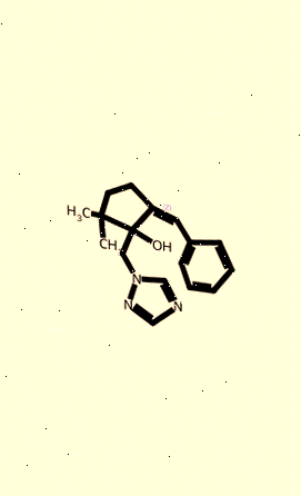 CC1(C)CC/C(=C/c2ccccc2)C1(O)Cn1cncn1